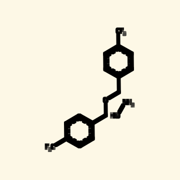 FC(F)(F)c1ccc(COCc2ccc(C(F)(F)F)cc2)cc1.NO